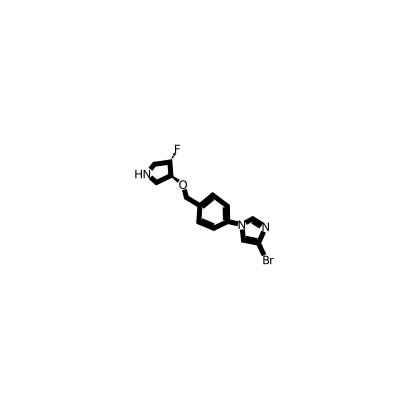 F[C@H]1CNC[C@@H]1OCc1ccc(-n2cnc(Br)c2)cc1